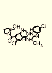 C[C@H](Nc1ncnc2cc(C(=O)N3CCC[C@H]3CO)c(Cl)cc12)c1nc2cc(Cl)ccc2[nH]1